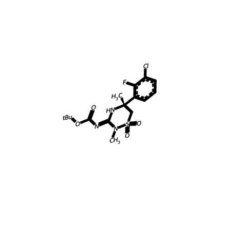 CN1/C(=N/C(=O)OC(C)(C)C)N[C@](C)(c2cccc(Cl)c2F)CS1(=O)=O